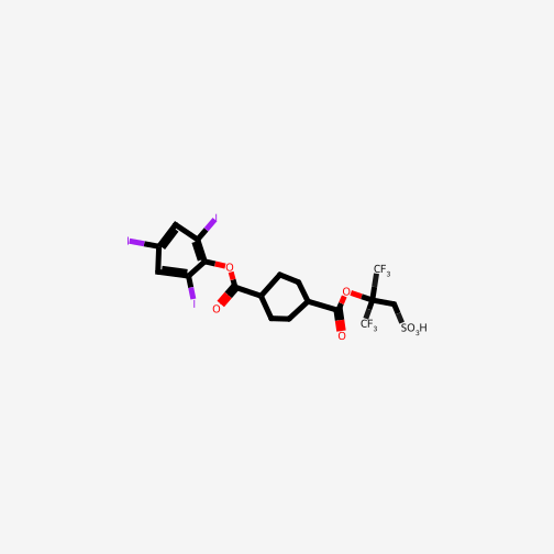 O=C(Oc1c(I)cc(I)cc1I)C1CCC(C(=O)OC(CS(=O)(=O)O)(C(F)(F)F)C(F)(F)F)CC1